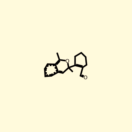 CC1=c2ccccc2=CC(C)(C2=C(C=O)CCCC2)O1